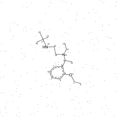 CCOc1ccccc1C(C)N(CC)CCNC(C)(C)C